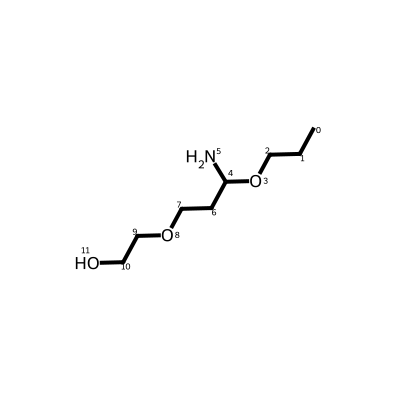 CCCOC(N)CCOCCO